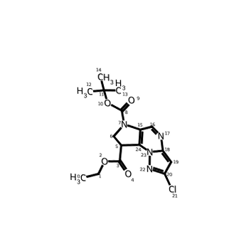 CCOC(=O)C1CN(C(=O)OC(C)(C)C)c2cnc3cc(Cl)nn3c21